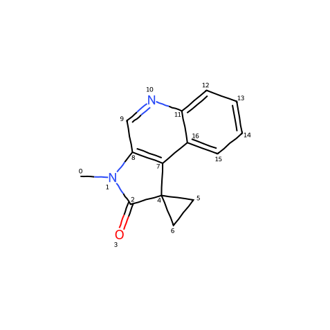 CN1C(=O)C2(CC2)c2c1cnc1ccccc21